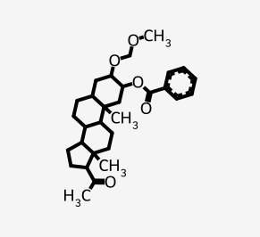 COCOC1CC2CCC3C(CCC4(C)C(C(C)=O)CCC34)C2(C)CC1OC(=O)c1ccccc1